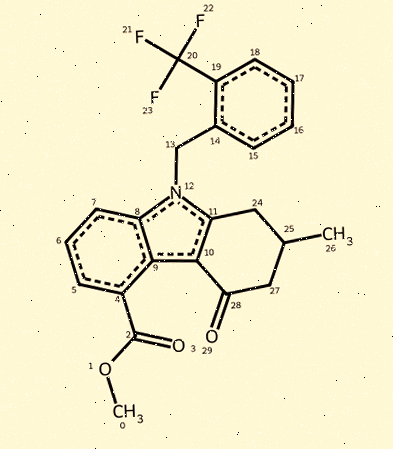 COC(=O)c1cccc2c1c1c(n2Cc2ccccc2C(F)(F)F)CC(C)CC1=O